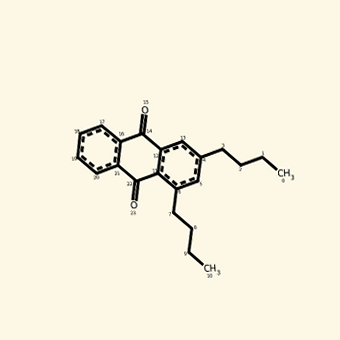 CCCCc1cc(CCCC)c2c(c1)C(=O)c1ccccc1C2=O